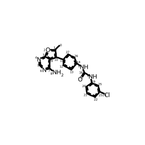 Cc1oc2ncnc(N)c2c1-c1ccc(NC(=O)Nc2cccc(Cl)c2)cc1